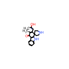 CC1=C(/C=C(\C)O)C2(CCNCC2)c2[nH]c3ccccc3c2C1=O